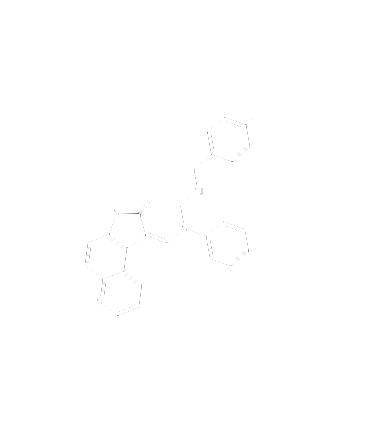 Cc1ccc(CNCN(C=C2C(=O)Nc3ccc4ncccc4c32)c2ccccc2)cc1